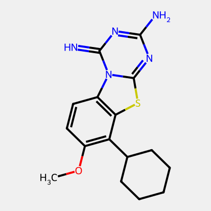 COc1ccc2c(sc3nc(N)nc(=N)n32)c1C1CCCCC1